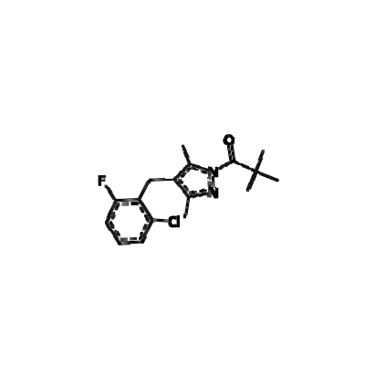 Cc1nn(C(=O)C(C)(C)C)c(C)c1Cc1c(F)cccc1Cl